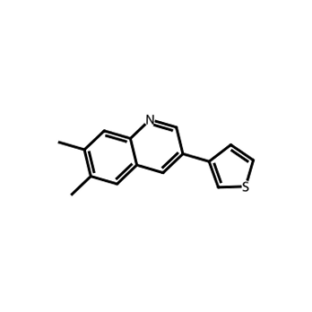 Cc1cc2cc(-c3ccsc3)cnc2cc1C